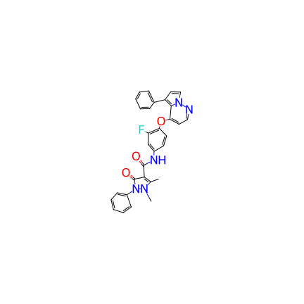 Cc1c(C(=O)Nc2ccc(Oc3ccnn4ccc(-c5ccccc5)c34)c(F)c2)c(=O)n(-c2ccccc2)n1C